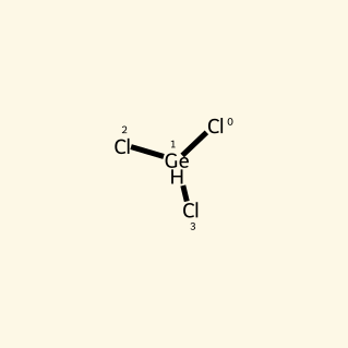 [Cl][GeH]([Cl])[Cl]